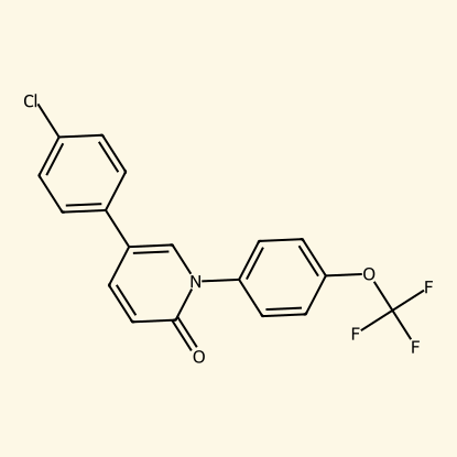 O=c1ccc(-c2ccc(Cl)cc2)cn1-c1ccc(OC(F)(F)F)cc1